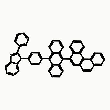 c1ccc(-c2nc3ccccc3n2-c2ccc(-c3c4ccccc4c(-c4cc5ccc6ccccc6c5c5ccccc45)c4ccccc34)cc2)cc1